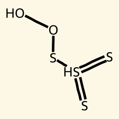 OOS[SH](=S)=S